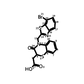 O=C(O)CC1Sc2ccccc2N(Cc2nc3cccc(Br)c3s2)C1=O